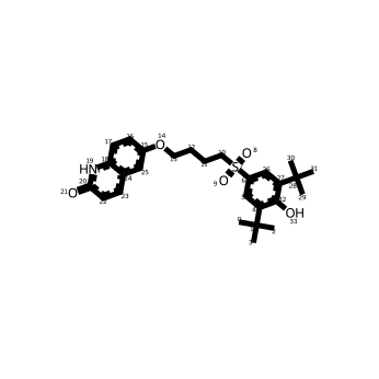 CC(C)(C)c1cc(S(=O)(=O)CCCCOc2ccc3[nH]c(=O)ccc3c2)cc(C(C)(C)C)c1O